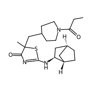 CCC(=O)N1CCC(CC2(C)SC(N[C@H]3C[C@H]4CC[C@H]3C4)=NC2=O)CC1